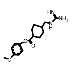 COc1ccc(OC(=O)C2CCC(CNC(=N)N)CC2)cc1